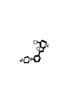 CN1CCN(c2cccc(-c3cc4nccc(Cl)c4o3)c2)CC1